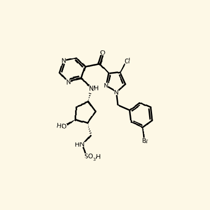 O=C(c1cncnc1N[C@@H]1C[C@H](CNS(=O)(=O)O)[C@@H](O)C1)c1nn(Cc2cccc(Br)c2)cc1Cl